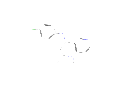 CC(=O)N1c2ccncc2[C@H](Nc2ccc(Cl)cc2)C[C@@H]1C